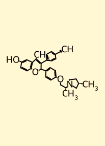 C#Cc1ccc(C2=C(C)c3cc(O)ccc3OC2c2ccc(OC[C@H](C)N3CC[C@@H](C)C3)cc2)cc1